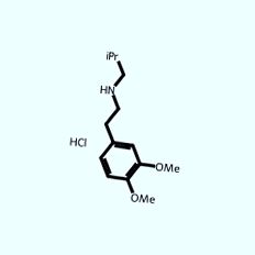 COc1ccc(CCNCC(C)C)cc1OC.Cl